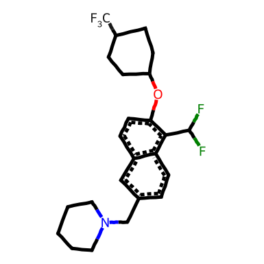 FC(F)c1c(OC2CCC(C(F)(F)F)CC2)ccc2cc(CN3CCCCC3)ccc12